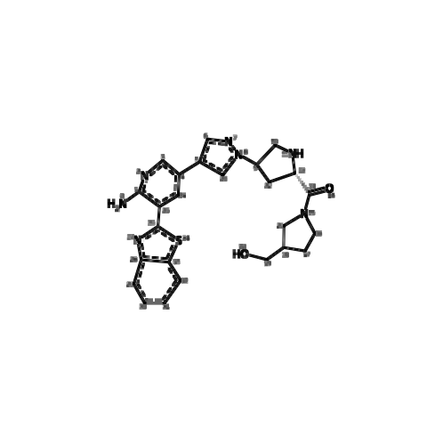 Nc1ncc(-c2cnn(C3CN[C@H](C(=O)N4CCC(CO)C4)C3)c2)cc1-c1nc2ccccc2s1